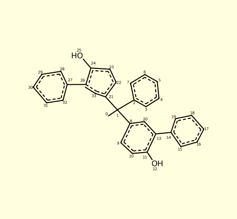 CC(c1ccccc1)(c1ccc(O)c(-c2ccccc2)c1)c1ccc(O)c(-c2ccccc2)c1